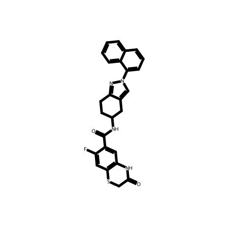 O=C1CSc2cc(F)c(C(=O)NC3CCc4nn(-c5cccc6ccccc56)cc4C3)cc2N1